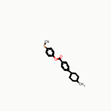 CC1CCC(c2ccc(C(=O)Oc3ccc(SC#N)cc3)cc2)CC1